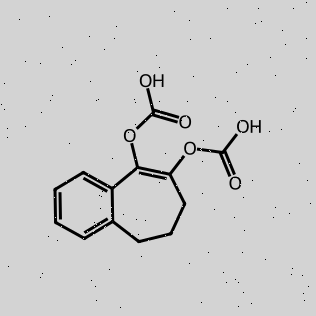 O=C(O)OC1=C(OC(=O)O)c2ccccc2CCC1